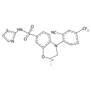 C[C@H]1CN(c2ccc(C(F)(F)F)cc2C#N)c2ccc(S(=O)(=O)Nc3nccs3)cc2O1